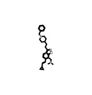 CN(C)Cc1c(/C=C/C2CC2)ccc2c(CCC3CCN(Cc4ccccc4)CC3)noc12